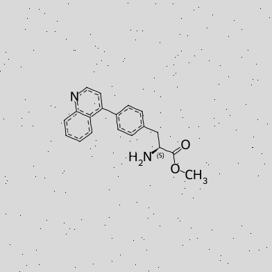 COC(=O)[C@@H](N)Cc1ccc(-c2ccnc3ccccc23)cc1